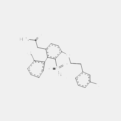 NC(=O)Cc1ccc(OCCc2cccc(Cl)c2)c(S(N)(=O)=O)c1-c1ccccc1Cl